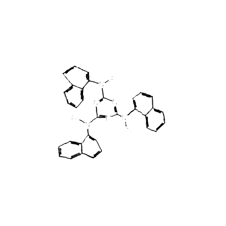 CC(=O)N(c1nc(N(C(C)=O)c2cccc3ccccc23)nc(N(C(C)=O)c2cccc3ccccc23)n1)c1cccc2ccccc12